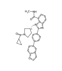 CNC(=O)c1cccc2nc(-c3ccc(-c4ccc5occc5c4)cc3)n(C[C@@H]3CCN(C(=O)C4CC4)C3)c12